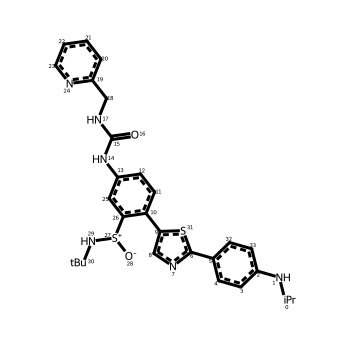 CC(C)Nc1ccc(-c2ncc(-c3ccc(NC(=O)NCc4ccccn4)cc3[S+]([O-])NC(C)(C)C)s2)cc1